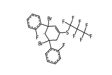 Fc1ccccc1C1(Br)[CH]C(Br)(c2ccccc2F)CC(SC(F)(F)C(F)(F)C(F)(F)F)=C1